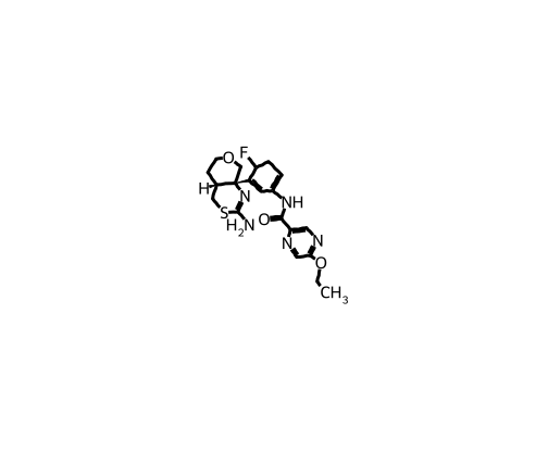 CCOc1cnc(C(=O)NC2=CCC(F)C([C@]34COCC[C@H]3CSC(N)=N4)=C2)cn1